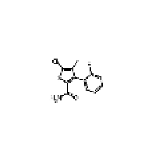 Cc1c(Cl)sc(C(N)=O)c1-c1ccccc1F